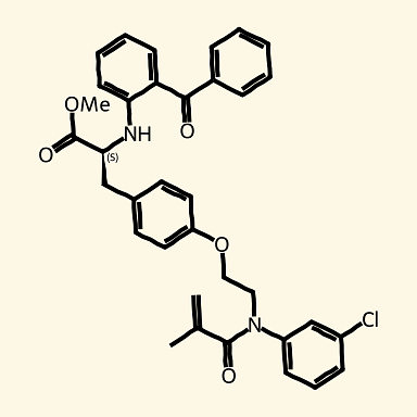 C=C(C)C(=O)N(CCOc1ccc(C[C@H](Nc2ccccc2C(=O)c2ccccc2)C(=O)OC)cc1)c1cccc(Cl)c1